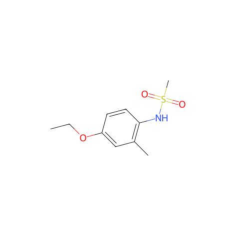 CCOc1ccc(NS(C)(=O)=O)c(C)c1